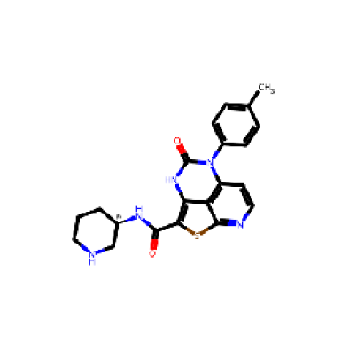 Cc1ccc(N2C(=O)Nc3c(C(=O)N[C@@H]4CCCNC4)sc4nccc2c34)cc1